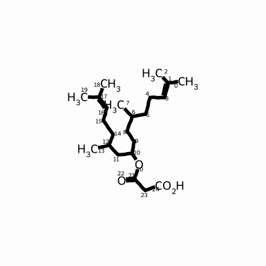 CC(C)=CCCC(C)CCC(CC(C)CCC=C(C)C)OC(=O)CC(=O)O